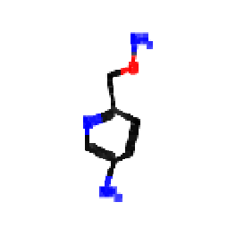 NOCc1ccc(N)cn1